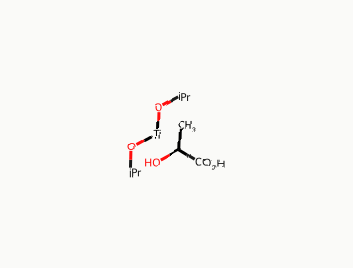 CC(C)[O][Ti][O]C(C)C.CC(O)C(=O)O